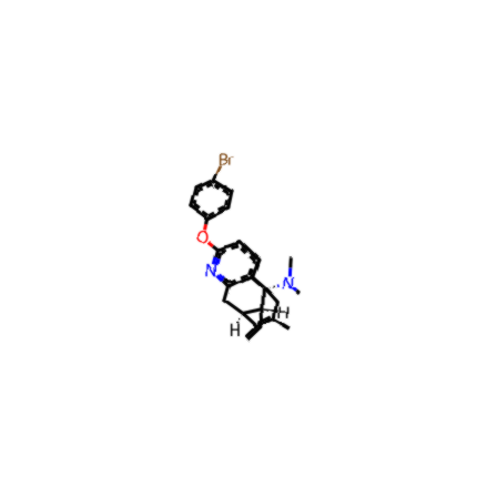 C=C[C@@H]1[C@H]2C=C(C)C[C@]1(N(C)C)c1ccc(Oc3ccc(Br)cc3)nc1C2